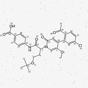 COc1cn(C(CCOC(C)(C)C)C(=O)Nc2ccc(C(=O)O)cc2)c(=O)cc1-c1cc(Cl)ccc1C(C)=O